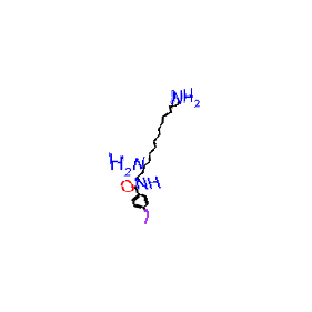 NCCCCCCCCCCCC(N)CCNC(=O)c1ccc(I)cc1